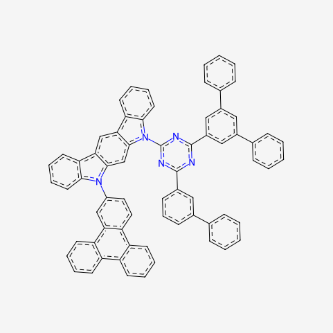 c1ccc(-c2cccc(-c3nc(-c4cc(-c5ccccc5)cc(-c5ccccc5)c4)nc(-n4c5ccccc5c5cc6c7ccccc7n(-c7ccc8c9ccccc9c9ccccc9c8c7)c6cc54)n3)c2)cc1